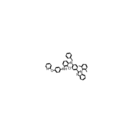 Cc1cccc(C)c1-n1c(-c2ccc(N(Cc3ccccc3)c3cccc(Nc4ccc(Oc5ccccn5)cc4)c3Cl)cc2)nc2ccccc21